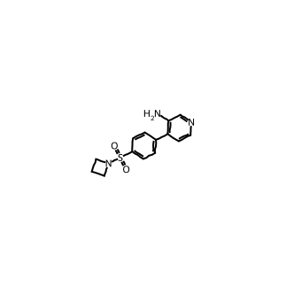 Nc1cnccc1-c1ccc(S(=O)(=O)N2CCC2)cc1